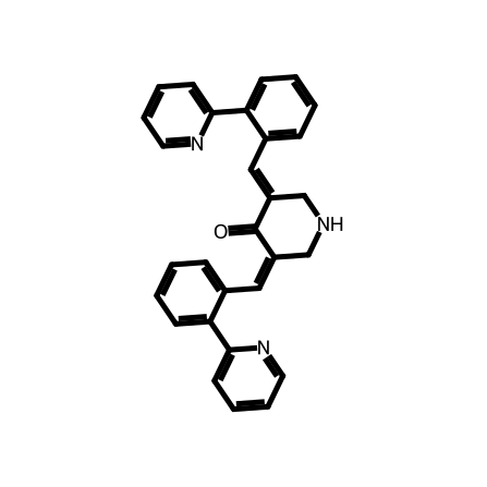 O=C1C(=Cc2ccccc2-c2ccccn2)CNCC1=Cc1ccccc1-c1ccccn1